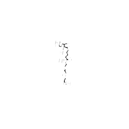 NCCOCCOCCNC(=O)CCCC[C@@H]1SCC2NC(=O)NC21